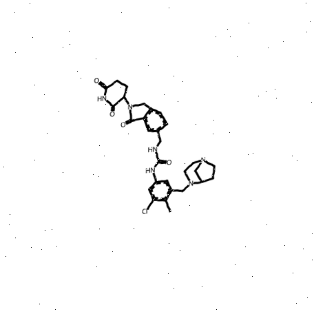 Cc1c(Cl)cc(NC(=O)NCc2ccc3c(c2)C(=O)N(C2CCC(=O)NC2=O)C3)cc1CN1CCN2CCC1C2